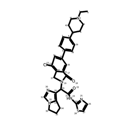 CCN1CCC(c2ccc(-c3cc(Cl)c4c(c3)C(=O)N(C(C(=O)Nc3nccs3)c3ncn5c3CCC5)C4)cc2)CC1